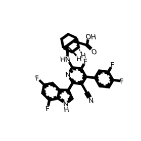 N#Cc1c(-c2c[nH]c3c(F)cc(F)cc23)nc(N[C@@H]2C3CCC(CC3)[C@H]2C(=O)O)c(F)c1-c1ccc(F)c(F)c1